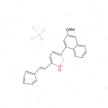 COc1cc(C2=CC=C(C=Cc3ccccc3)[OH+]S2)c2ccccc2c1.F[B-](F)(F)F